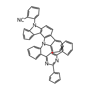 N#Cc1ccccc1-n1c2ccccc2c2c1ccc1c3ccccc3n(-c3ccccc3-c3cc(-c4ccccc4)nc(-c4ccccc4)n3)c12